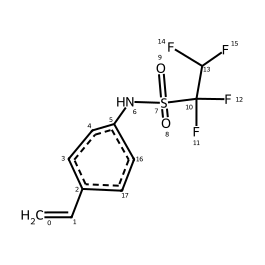 C=Cc1ccc(NS(=O)(=O)C(F)(F)C(F)F)cc1